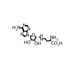 Nc1ncnc2c1ncn2[C@@H]1O[C@H](CNCC[C@H](N)C(=O)O)[C@@H](O)[C@H]1O